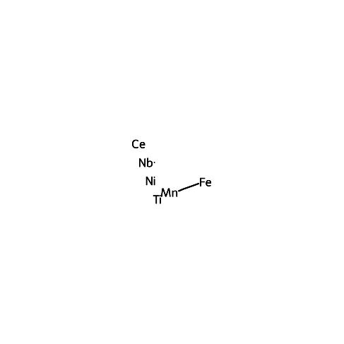 [Ce].[Mn][Fe].[Nb].[Ni].[Ti]